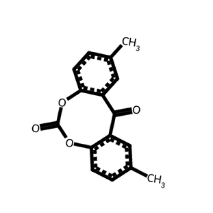 Cc1ccc2c(c1)C(=O)c1cc(C)ccc1OC(=O)O2